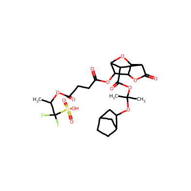 CC(OC(=O)CCC(=O)OC1C2OC(=O)C3C2OC1C3C(=O)OC(C)(C)OC1CC2CCC1C2)C(F)(F)S(=O)(=O)O